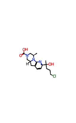 C[C@@H]1CN(C(=O)O)C[C@H]2Cc3ccc(C(C)(O)CCCCl)nc3N21